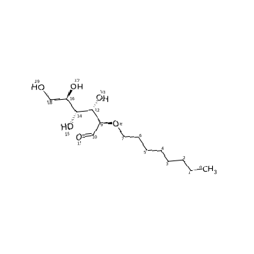 CCCCCCCCO[C@@H](C=O)[C@@H](O)[C@H](O)[C@H](O)CO